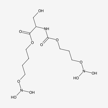 O=C(NC(CO)C(=O)OCCCCON(O)O)OCCCON(O)O